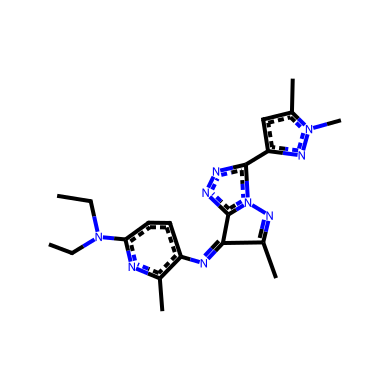 CCN(CC)c1ccc(N=C2C(C)=Nn3c2nnc3-c2cc(C)n(C)n2)c(C)n1